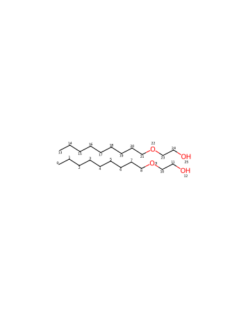 CCCCCCCCCOCCO.CCCCCCCCCOCCO